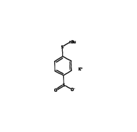 CCCCSc1ccc(S(=O)[O-])cc1.[K+]